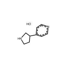 Cl.c1cc(C2CCNC2)ccn1